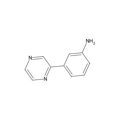 Nc1cccc(-c2cnccn2)c1